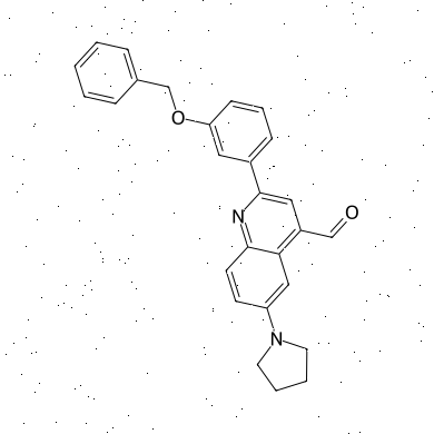 O=Cc1cc(-c2cccc(OCc3ccccc3)c2)nc2ccc(N3CCCC3)cc12